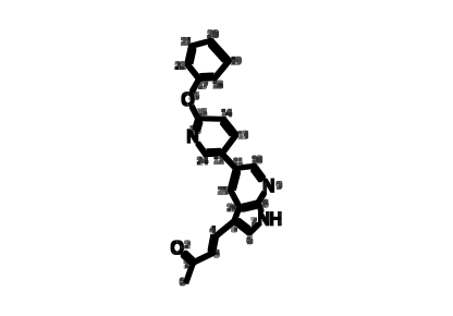 CC(=O)/C=C/c1c[nH]c2ncc(-c3ccc(Oc4ccccc4)nc3)cc12